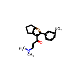 CN(C)C=CC(=O)c1c(-c2cccc([N+](=O)[O-])c2)sc2c1CCC2